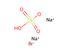 O=S(=O)([O-])O.[Br-].[Na+].[Na+]